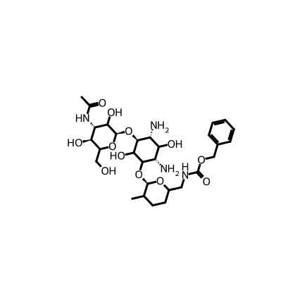 CC(=O)N[C@@H]1C(O)[C@@H](O[C@@H]2C(O)C(O[C@H]3OC(CNC(=O)OCc4ccccc4)CCC3C)[C@@H](N)C(O)[C@H]2N)OC(CO)[C@H]1O